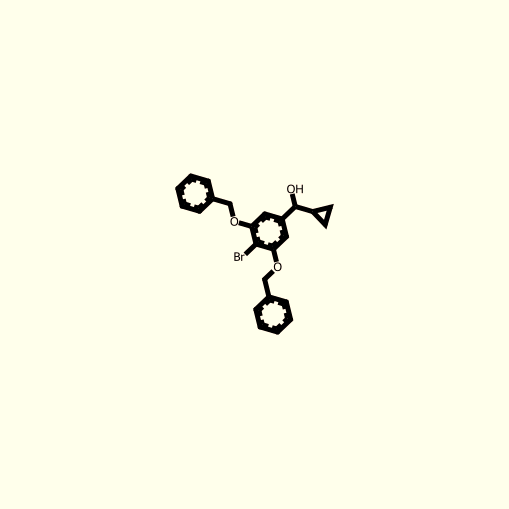 OC(c1cc(OCc2ccccc2)c(Br)c(OCc2ccccc2)c1)C1CC1